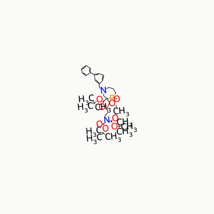 CCOP1(=O)CCCN(Cc2cccc(-c3ccccc3)c2)CC1(CCCCN(C(=O)OC(C)(C)C)C(=O)OC(C)(C)C)C(=O)OC(C)(C)C